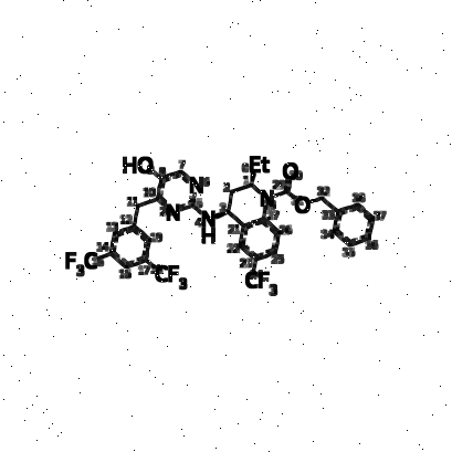 CC[C@@H]1C[C@H](Nc2ncc(O)c(Cc3cc(C(F)(F)F)cc(C(F)(F)F)c3)n2)c2cc(C(F)(F)F)ccc2N1C(=O)OCc1ccccc1